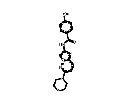 CC(C)(C)c1ccc(C(=O)Nc2cn3nc(N4CCSCC4)ccc3n2)cc1